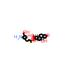 C[C@]12C=CC(=O)C=C1CC[C@@H]1[C@@H]2[C@@H](O)C[C@@]2(C)[C@H]1C[C@H]1O[C@@H](c3csc(Cc4ccc(CO)c(N)c4)c3)O[C@]12C(=O)CO